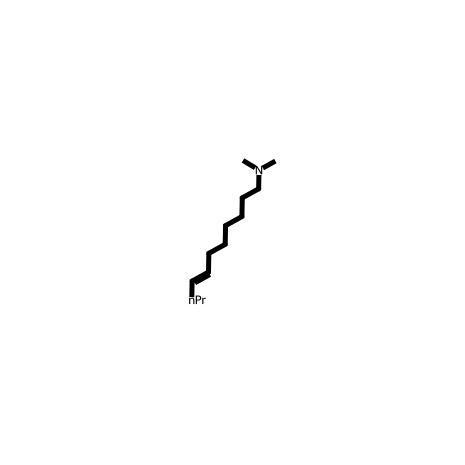 CCCC=CCCCCCCN(C)C